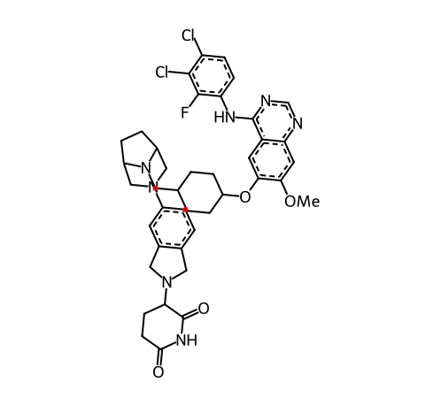 COc1cc2ncnc(Nc3ccc(Cl)c(Cl)c3F)c2cc1OC1CCC(CN2C3CCC2CN(c2ccc4c(c2)CN(C2CCC(=O)NC2=O)C4)C3)CC1